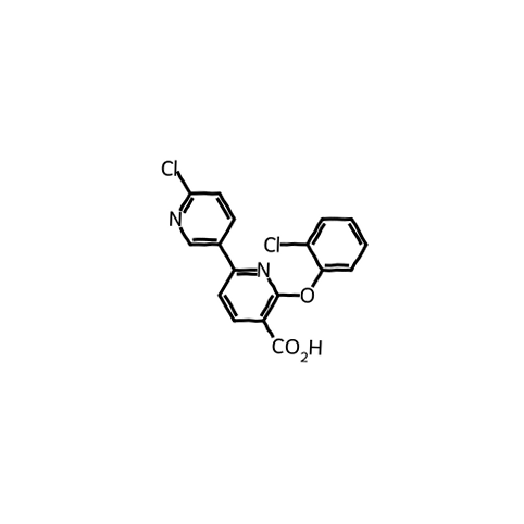 O=C(O)c1ccc(-c2ccc(Cl)nc2)nc1Oc1ccccc1Cl